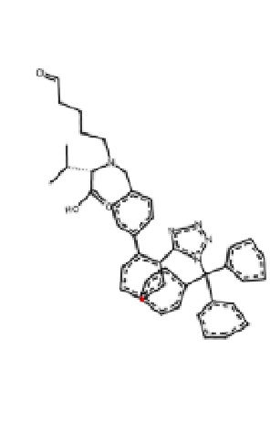 CC(C)[C@@H](C(=O)O)N(CCCCC=O)Cc1ccc(-c2ccccc2-c2nnnn2C(c2ccccc2)(c2ccccc2)c2ccccc2)cc1